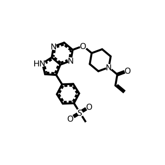 C=CC(=O)N1CCC(Oc2cnc3[nH]cc(-c4ccc(S(C)(=O)=O)cc4)c3n2)CC1